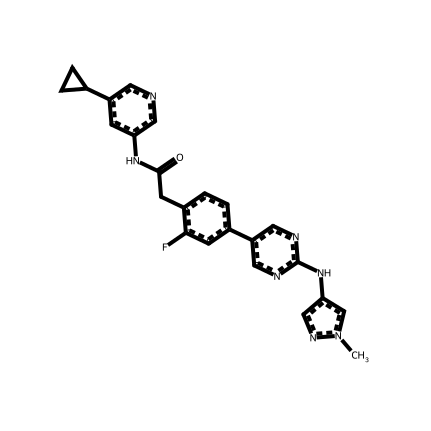 Cn1cc(Nc2ncc(-c3ccc(CC(=O)Nc4cncc(C5CC5)c4)c(F)c3)cn2)cn1